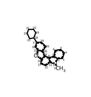 Cn1c2ccccc2c2c3c(ccc21)oc1cc(C2CCCCC2)ccc13